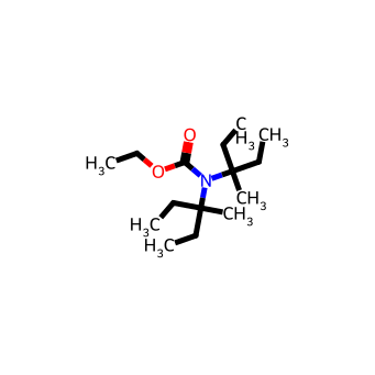 CCOC(=O)N(C(C)(CC)CC)C(C)(CC)CC